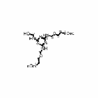 CCCCCCCCCCCCOCNc1nc(NCO)nc(NCOCCCCCCCCCCCC)n1